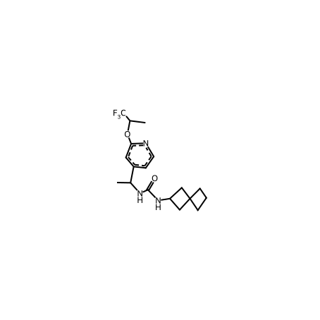 CC(NC(=O)NC1CC2(CCC2)C1)c1ccnc(OC(C)C(F)(F)F)c1